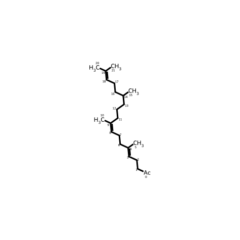 CC(=O)CC/C=C(\C)CC/C=C(/C)CCCC(C)CCC=C(C)C